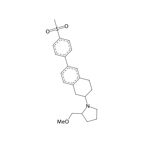 COCC1CCCN1C1CCc2cc(-c3ccc(S(C)(=O)=O)cc3)ccc2C1